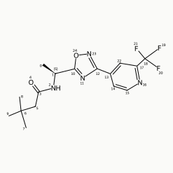 C[C@H](NC(=O)CC(C)(C)C)c1nc(-c2ccnc(C(F)(F)F)c2)no1